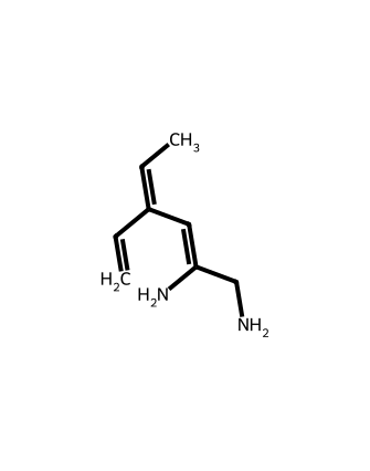 C=CC(=C/C)/C=C(\N)CN